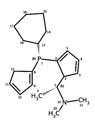 C[C@H](C1C=CC=C1[P@](C1=CC=CC1)C1CCCCC1)N(C)C